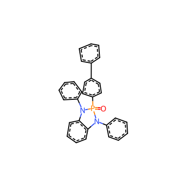 O=P1(c2ccc(-c3ccccc3)cc2)N(c2ccccc2)c2ccccc2N1c1ccccc1